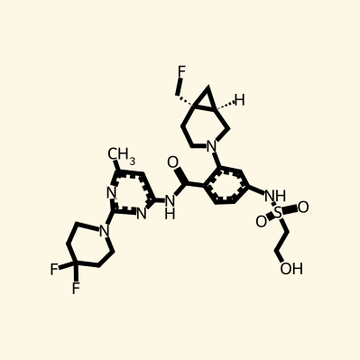 Cc1cc(NC(=O)c2ccc(NS(=O)(=O)CCO)cc2N2CC[C@@]3(CF)C[C@H]3C2)nc(N2CCC(F)(F)CC2)n1